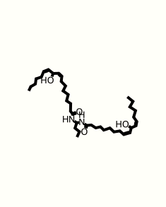 CCCCC/C=C\C(O)/C=C\CCCCCCCC(=O)NC(CCC)NC(=O)CCCCCCC/C=C\C(O)/C=C\CCCCC